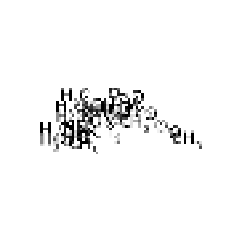 CC[C@H](C)[C@@H]([C@H](O)CC(=O)N1CCC[C@H]1[C@H](O)[C@@H](C)C(=O)NC(Cc1ccccc1)C(=O)OCCOCCOCCOC)N(C)C(=O)[C@@H](NC(=O)[C@@H](NC)C(C)C)C(C)C